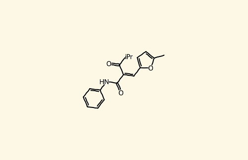 Cc1ccc(C=C(C(=O)Nc2ccccc2)C(=O)C(C)C)o1